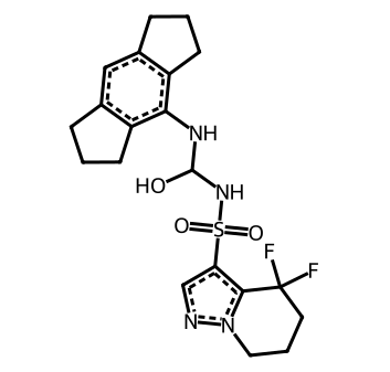 O=S(=O)(NC(O)Nc1c2c(cc3c1CCC3)CCC2)c1cnn2c1C(F)(F)CCC2